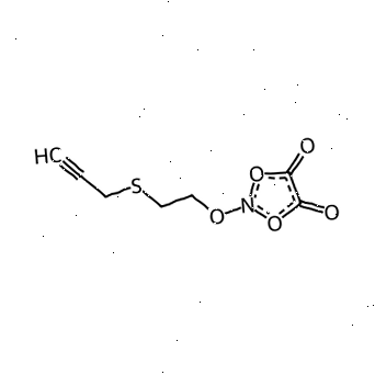 C#CCSCCOn1oc(=O)c(=O)o1